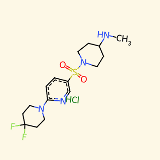 CNC1CCN(S(=O)(=O)c2ccc(N3CCC(F)(F)CC3)nc2)CC1.Cl